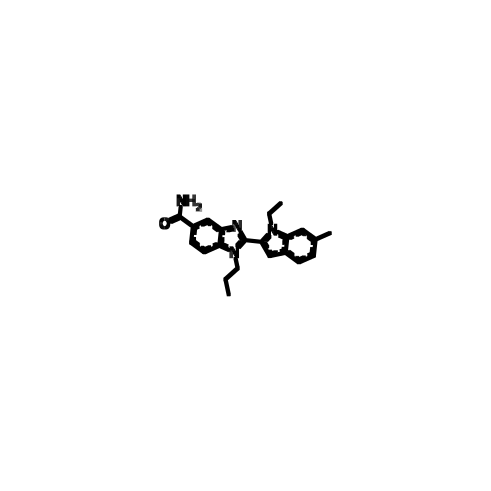 CCCn1c(-c2cc3ccc(C)cc3n2CC)nc2cc(C(N)=O)ccc21